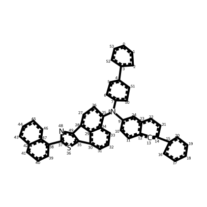 c1ccc(-c2ccc(N(c3ccc4cc(-c5ccccc5)ccc4c3)c3ccc4c5c(cccc35)-c3sc(-c5cccc6ccccc56)nc3-4)cc2)cc1